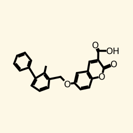 Cc1c(COc2ccc3oc(=O)c(C(=O)O)cc3c2)cccc1-c1ccccc1